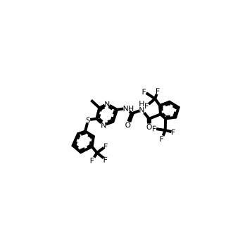 Cc1nc(NC(=O)NC(=O)c2c(C(F)(F)F)cccc2C(F)(F)F)cnc1Sc1cccc(C(F)(F)F)c1